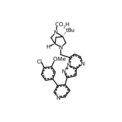 COc1cc(-c2cnccc2-c2cc3nccc(CN4C[C@@]5(C(C)(C)C)C[C@H]4CN5C(=O)O)n3n2)ccc1Cl